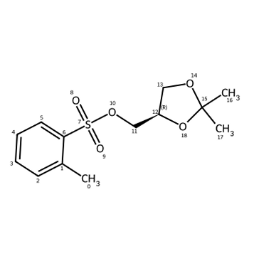 Cc1ccccc1S(=O)(=O)OC[C@H]1COC(C)(C)O1